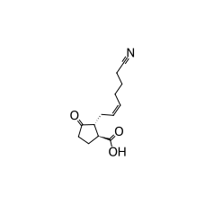 N#CCCC/C=C\C[C@H]1C(=O)CC[C@@H]1C(=O)O